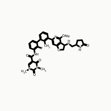 COc1nc(-c2cccc(-c3cccc(NC(=O)c4cn(C)c(=O)n(C)c4=O)c3F)c2C)cc2c1C(NCC1CCC(=O)N1)CO2